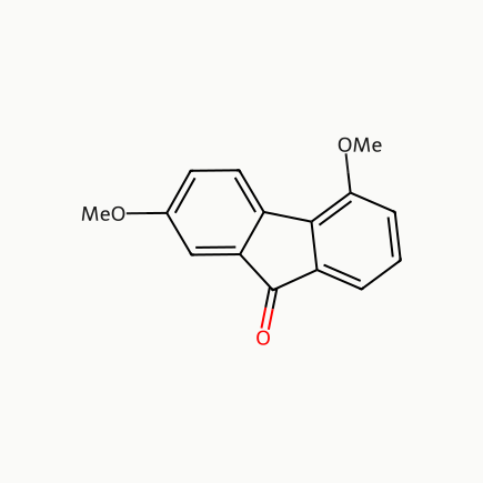 COc1ccc2c(c1)C(=O)c1cccc(OC)c1-2